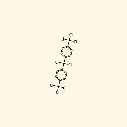 ClC(Cl)(Cl)c1ccc(C(Cl)(Cl)c2ccc(C(Cl)(Cl)Cl)cc2)cc1